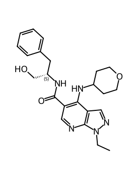 CCn1ncc2c(NC3CCOCC3)c(C(=O)N[C@H](CO)Cc3ccccc3)cnc21